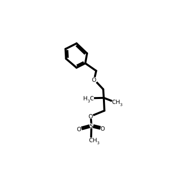 CC(C)(COCc1ccccc1)COS(C)(=O)=O